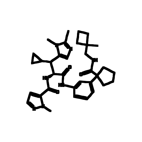 Cc1ncc(C(C2CC2)[C@H](NC(=O)c2ccnn2C)C(=O)Nc2cccc(C3(C(=O)NCC4(C)CCC4)CCCC3)c2)n1C